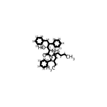 CCCCC1(CCCC)N[C@@H]([C@H](O)[C](Cc2ccccc2)c2ccccc2)C(=O)N1Cc1ccccc1